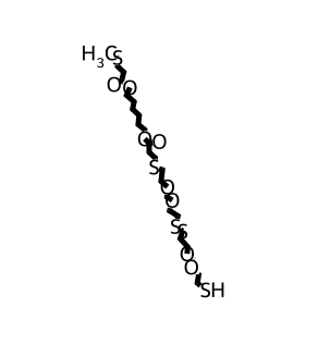 CSCCC(=O)OCCCCCCOC(=O)CCSCCOCOCCSSCCOCOCCS